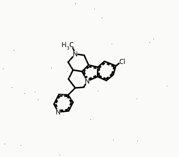 CN1Cc2c3n(c4ccc(Cl)cc24)CC(c2ccncc2)CC3C1